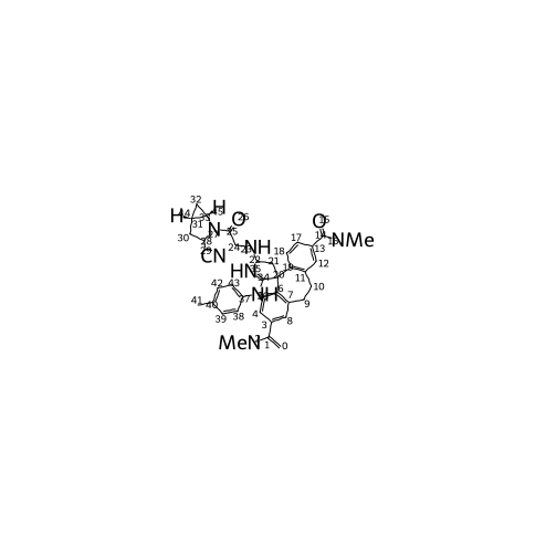 C=C(NC)c1ccc2c(c1)CCc1cc(C(=O)NC)ccc1C2(CCNCC(=O)N1C(C#N)C[C@@H]2C[C@@H]21)C(=N)Nc1ccc(C)cc1